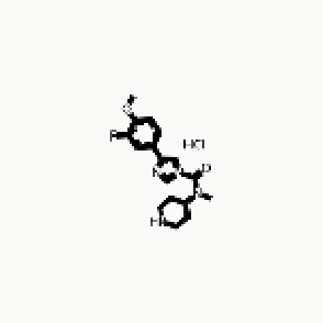 COc1ccc(-c2cn(C(=O)N(C)C3CCNCC3)cn2)cc1F.Cl